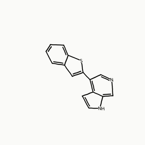 c1ccc2sc(-c3cncc4[nH]ccc34)cc2c1